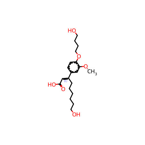 COc1cc(/C(=C/C(=O)O)CCCCCCO)ccc1OCCCCO